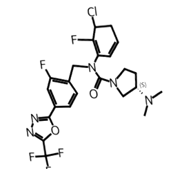 CN(C)[C@H]1CCN(C(=O)N(Cc2ccc(-c3nnc(C(F)(F)F)o3)cc2F)C2=C(F)C(Cl)CC=C2)C1